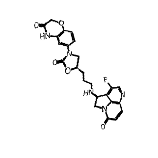 O=C1COc2ccc(N3C[C@@H](CCCNC4Cn5c(=O)ccc6ncc(F)c4c65)OC3=O)cc2N1